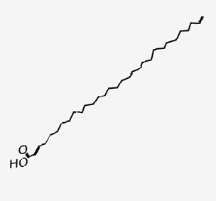 C=CCCCCCCCCCCCCCCCCCCCCCCCCCCC=CC(=O)O